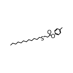 CCCCCCCCCCCCSCCC(=O)Oc1ccc(C)cc1